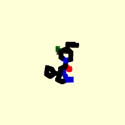 CO[C@H]1CCN(C(=O)CC2(C3CCCC3)CCNN2)C[C@H]1F